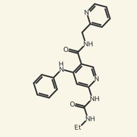 CCNC(=O)Nc1cc(Nc2ccccc2)c(C(=O)NCc2ccccn2)cn1